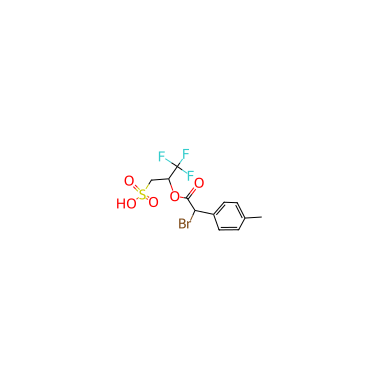 Cc1ccc(C(Br)C(=O)OC(CS(=O)(=O)O)C(F)(F)F)cc1